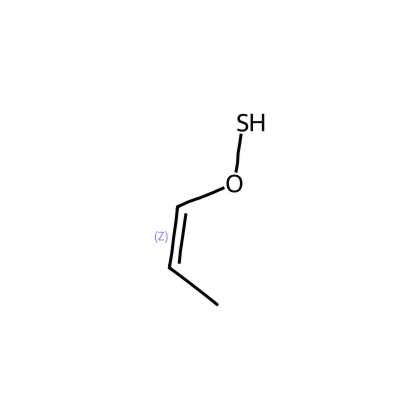 C/C=C\OS